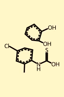 Cc1cc(Cl)ccc1NC(O)=S.Oc1ccccc1O